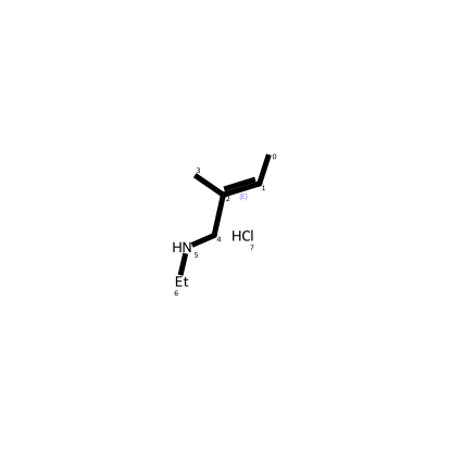 C/C=C(\C)CNCC.Cl